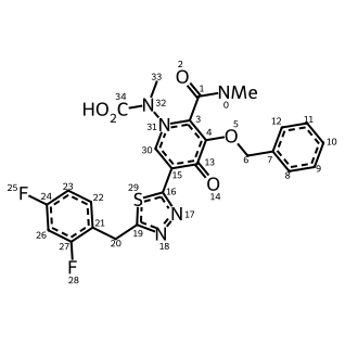 CNC(=O)c1c(OCc2ccccc2)c(=O)c(-c2nnc(Cc3ccc(F)cc3F)s2)cn1N(C)C(=O)O